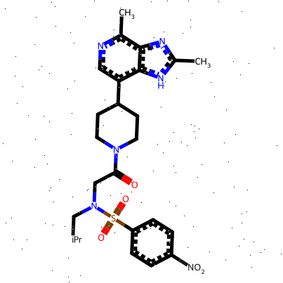 Cc1nc2c(C)ncc(C3CCN(C(=O)CN(CC(C)C)S(=O)(=O)c4ccc([N+](=O)[O-])cc4)CC3)c2[nH]1